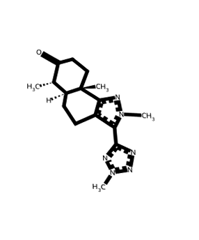 C[C@@H]1C(=O)CC[C@]2(C)c3nn(C)c(-c4nnn(C)n4)c3CC[C@@H]12